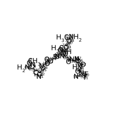 COc1ncc(-c2ccc3nccc(-c4ccc(COC(=O)OCCSSCC(NC(=O)CCC(=O)NCc5cc(C(=O)NCC(=O)N6CC(F)(F)C[C@H]6C#N)ccn5)C(=O)Nc5ccc(-c6ccc(N)c(C)c6)cc5C)nc4)c3c2)cc1N